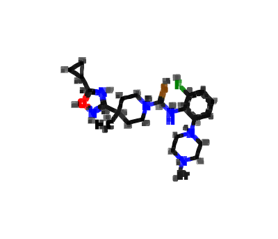 CC(C)N1CCN(c2cccc(F)c2NC(=S)N2CCC(C)(c3noc(C4CC4)n3)CC2)CC1